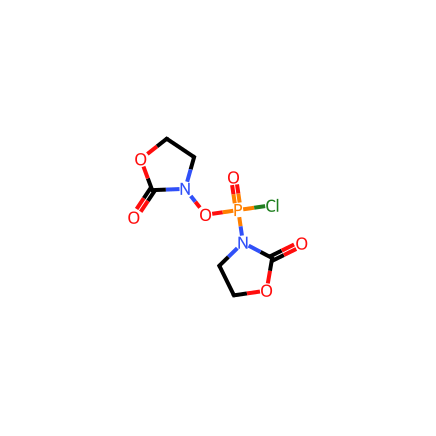 O=C1OCCN1OP(=O)(Cl)N1CCOC1=O